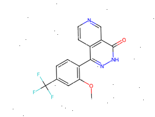 COc1cc(C(F)(F)F)ccc1-c1n[nH]c(=O)c2cnccc12